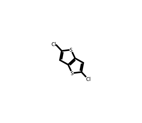 Clc1cc2sc(Cl)cc2s1